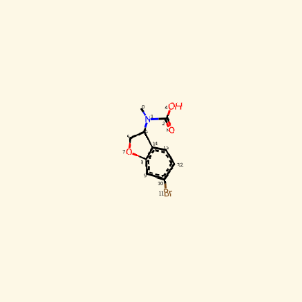 CN(C(=O)O)C1COc2cc(Br)ccc21